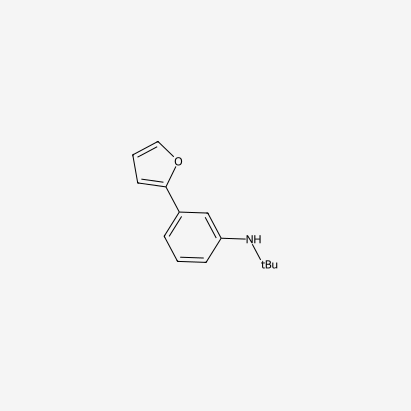 CC(C)(C)Nc1cccc(-c2ccco2)c1